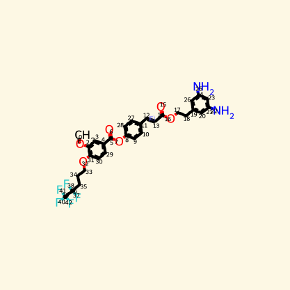 COc1cc(C(=O)Oc2ccc(/C=C/C(=O)OCCc3cc(N)cc(N)c3)cc2)ccc1OCCCC(F)(F)C(F)(F)F